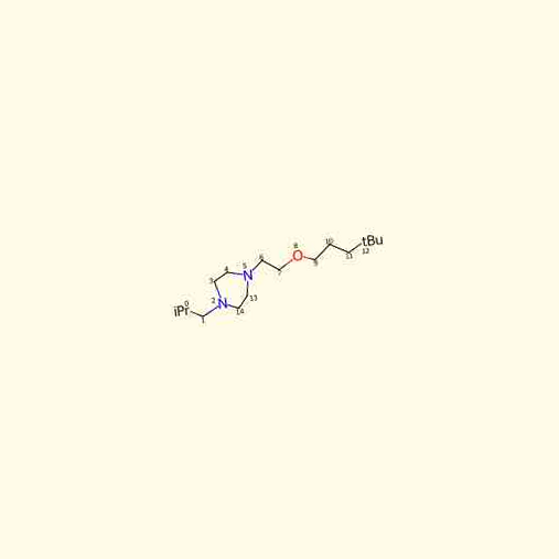 CC(C)CN1CCN(CCOCCCC(C)(C)C)CC1